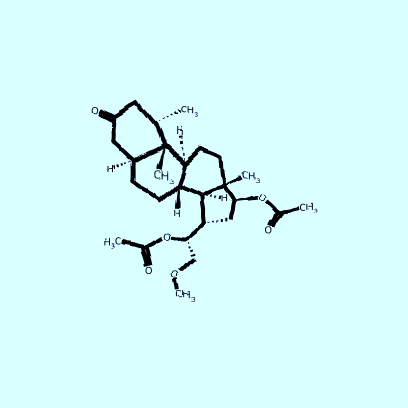 COC[C@H](OC(C)=O)[C@H]1C[C@H](OC(C)=O)[C@@]2(C)CC[C@H]3[C@@H](CC[C@H]4CC(=O)C[C@H](C)[C@@]43C)[C@H]12